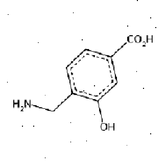 NCc1ccc(C(=O)O)cc1O